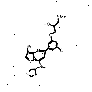 CNCC(O)COc1cc(Cl)cc(-c2cc(N(C)[C@H]3CCOC3)n3ncc(C(C)C)c3n2)c1